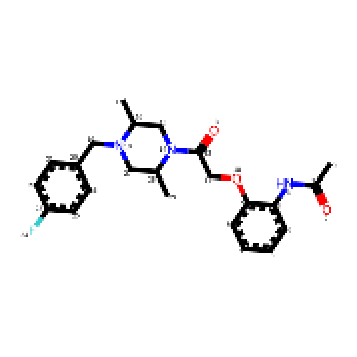 CC(=O)Nc1ccccc1OCC(=O)N1CC(C)N(Cc2ccc(F)cc2)CC1C